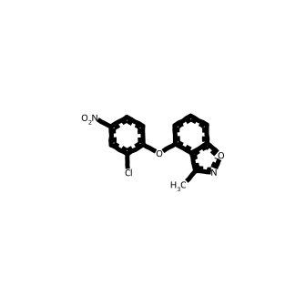 Cc1noc2cccc(Oc3ccc([N+](=O)[O-])cc3Cl)c12